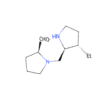 CC[C@H]1CCN[C@@H]1CN1CCC[C@H]1[C]=O